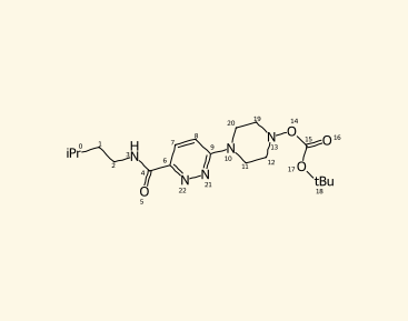 CC(C)CCNC(=O)c1ccc(N2CCN(OC(=O)OC(C)(C)C)CC2)nn1